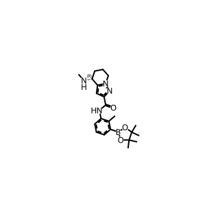 CN[C@@H]1CCCn2nc(C(=O)Nc3cccc(B4OC(C)(C)C(C)(C)O4)c3C)cc21